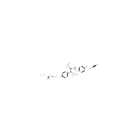 CC#CCOc1ccc(S(=O)(=O)N(C)C(C(=O)NO)c2ccc(OCCNC(=O)O)cc2)cc1